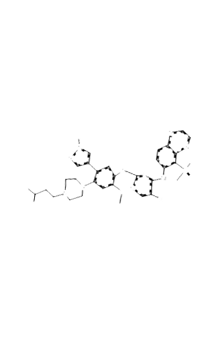 COc1cc(N2CCN(CCC(F)F)CC2)c(-c2cnn(C)c2)cc1Nc1ncc(Br)c(Nc2ccc3nccnc3c2P(C)(C)=O)n1